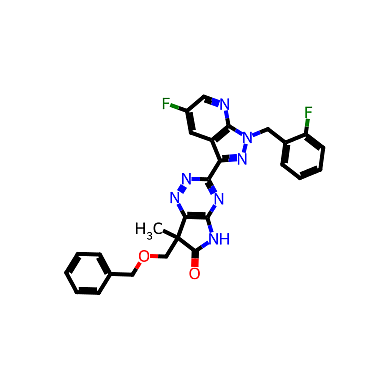 CC1(COCc2ccccc2)C(=O)Nc2nc(-c3nn(Cc4ccccc4F)c4ncc(F)cc34)nnc21